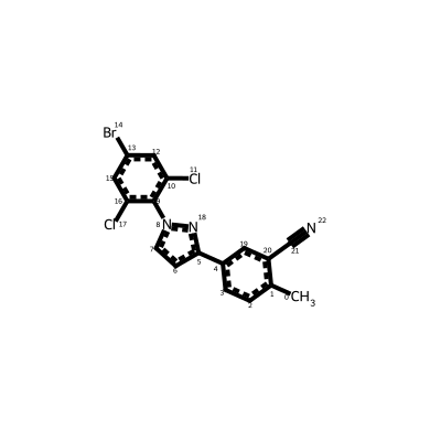 Cc1ccc(-c2ccn(-c3c(Cl)cc(Br)cc3Cl)n2)cc1C#N